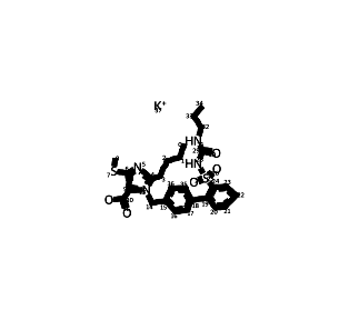 CCCCc1nc(SC)c(C(=O)[O-])n1Cc1ccc(-c2ccccc2S(=O)(=O)NC(=O)NCCC)cc1.[K+]